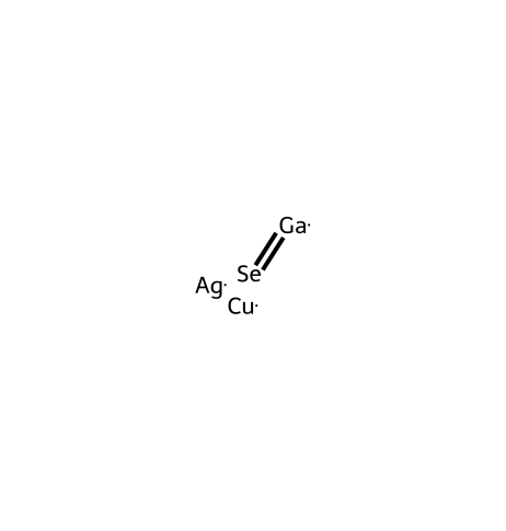 [Ag].[Cu].[Ga]=[Se]